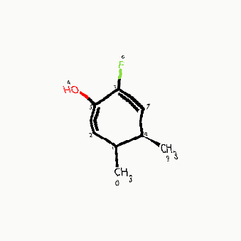 CC1C=C(O)C(F)=C[C@H]1C